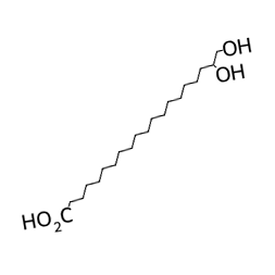 O=C(O)CCCCCCCCCCCCCCCCCC(O)CO